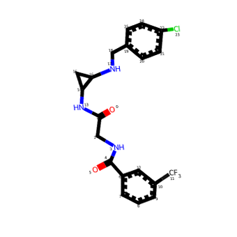 O=C(CNC(=O)c1cccc(C(F)(F)F)c1)NC1CC1NCc1ccc(Cl)cc1